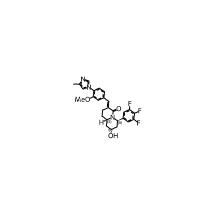 COc1cc(C=C2CC[C@H]3C[C@@H](O)C[C@H](c4cc(F)c(F)c(F)c4)N3C2=O)ccc1-n1cnc(C)c1